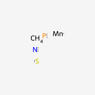 C.[Mn].[N].[P].[S]